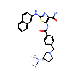 CN(C)[C@H]1CCN(Cc2ccc(C(=O)Nc3sc(Nc4ccc5ccccc5c4)nc3C(N)=O)cc2)C1